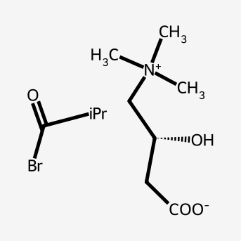 CC(C)C(=O)Br.C[N+](C)(C)C[C@H](O)CC(=O)[O-]